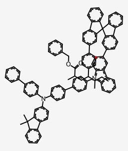 CCC(C)C(CC(C)C(=O)OCc1ccccc1)c1ccc(-c2ccc3c(c2)C2(c4ccccc4-3)c3ccccc3-c3ccc(-c4ccc5c(c4)c4ccccc4n5-c4ccc(-c5ccc(N(c6ccc(-c7ccccc7)cc6)c6ccc7c(c6)C(C)(C)c6ccccc6-7)cc5)cc4)cc32)cc1